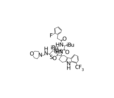 CCC(C)[C@H](NC(=O)Cc1ccccc1F)C(=O)N[C@]1(C(=O)NC(C(=S)NCN2CCOCC2)[C@@H](C)CC)CCc2[nH]c3c(C(F)(F)F)cccc3c2C1